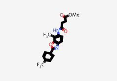 COC(=O)CCC(=O)Nc1ccc2nc(-c3ccc(C(F)(F)F)cc3)oc2c1C(F)(F)F